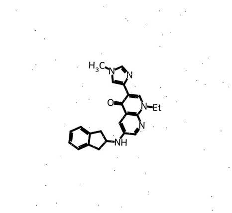 CCn1cc(-c2cn(C)cn2)c(=O)c2cc(NC3Cc4ccccc4C3)cnc21